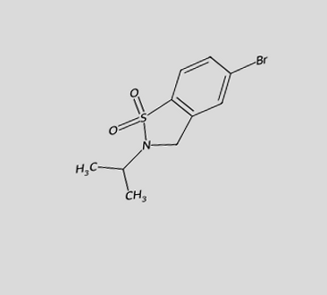 CC(C)N1Cc2cc(Br)ccc2S1(=O)=O